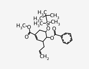 C=CCC1C=C(C(=O)OC)CC(O[Si](C)(C)C(C)(C)C)C1OC(=O)c1ccccc1